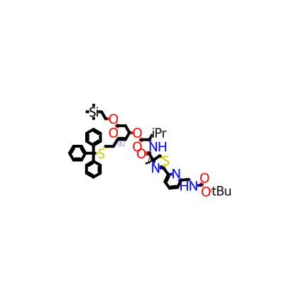 CC(C)C(NC(=O)[C@]1(C)CSC(c2cccc(CNC(=O)OC(C)(C)C)n2)=N1)C(=O)OC(/C=C/CCSC(c1ccccc1)(c1ccccc1)c1ccccc1)CC(=O)OCC[Si](C)(C)C